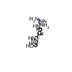 CC(C)C(=C/N)/C=C(\N)Nc1ccc2ncc(/C(C=N)=C/NC[C@H]3CCC(O)N3)cc2n1